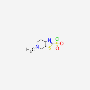 CN1CCc2nc(S(=O)(=O)Cl)sc2C1